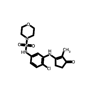 CC1=C(Nc2cc(NS(=O)(=O)N3CCOCC3)ccc2Cl)CCC1=O